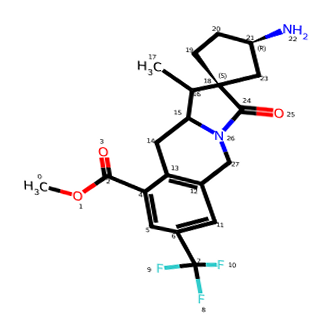 COC(=O)c1cc(C(F)(F)F)cc2c1CC1C(C)[C@@]3(CC[C@@H](N)C3)C(=O)N1C2